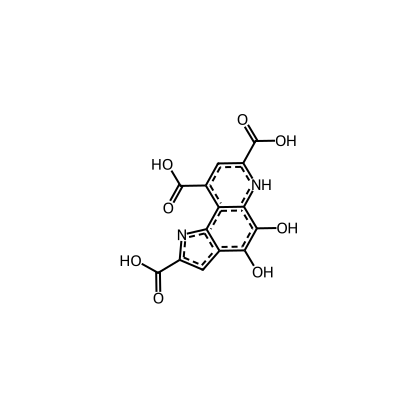 O=C(O)c1cc2c(O)c(O)c3[nH]c(C(=O)O)cc(C(=O)O)c3c2n1